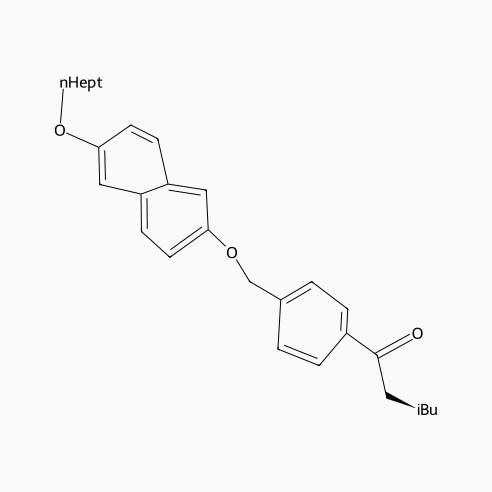 CCCCCCCOc1ccc2cc(OCc3ccc(C(=O)C[C@H](C)CC)cc3)ccc2c1